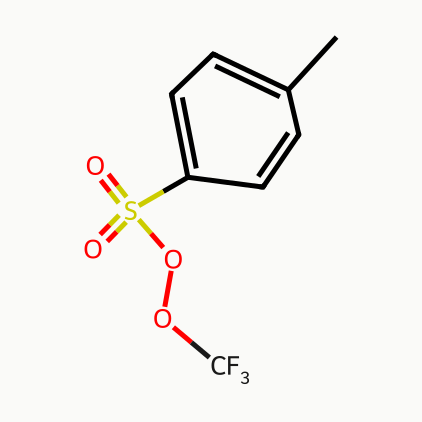 Cc1ccc(S(=O)(=O)OOC(F)(F)F)cc1